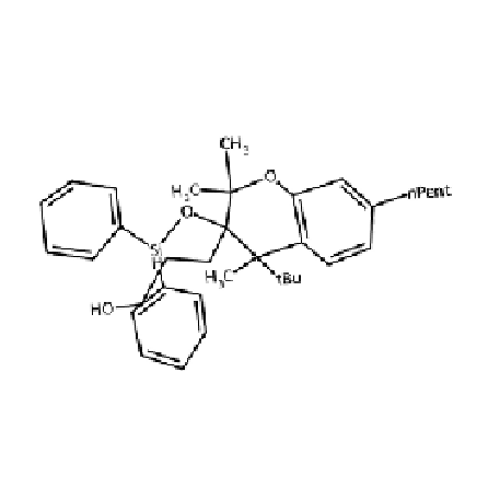 CCCCCc1ccc2c(c1)OC(C)(C)C(CCCO)(O[SiH](c1ccccc1)c1ccccc1)C2(C)C(C)(C)C